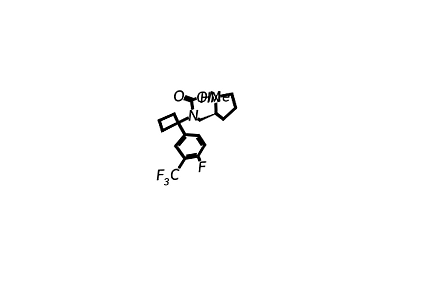 COC(=O)N(C[C@@H]1CCCN1)C1(c2ccc(F)c(C(F)(F)F)c2)CCC1